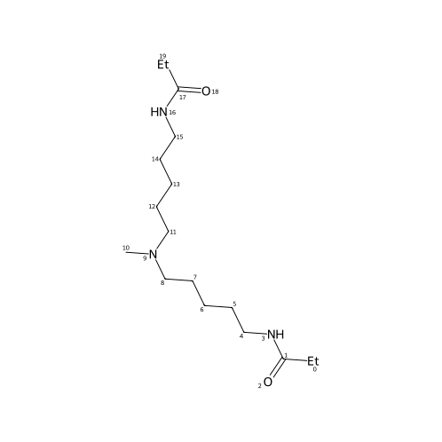 CCC(=O)NCCCCCN(C)CCCCCNC(=O)CC